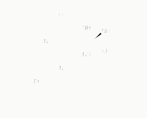 CCC1C=NC2=C(N[C@@](N)(Cl)NC2=O)N1C1CCCC1